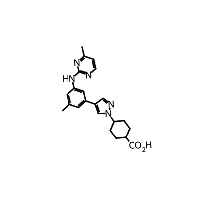 Cc1cc(Nc2nccc(C)n2)cc(-c2cnn(C3CCC(C(=O)O)CC3)c2)c1